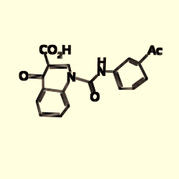 CC(=O)c1cccc(NC(=O)n2cc(C(=O)O)c(=O)c3ccccc32)c1